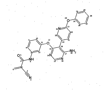 C=C(C#N)C(=O)Nc1cccc(Oc2ncnc(N)c2-c2ccc(Oc3ccccc3)nc2)c1